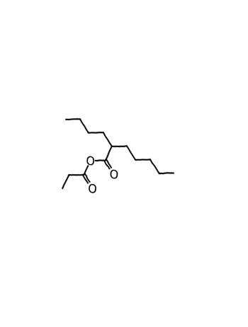 CCCCCC(CCCC)C(=O)OC(=O)CC